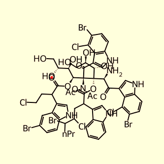 CCCC(Br)C(Cl)CC(C(=O)O[C@@]([C@@H](N)C(=O)c1c[nH]c2ccc(Br)c(Cl)c12)([C@@H](O)[C@H](O)CO)[C@@](C(=O)c1c[nH]c2ccc(Br)c(Cl)c12)([C@@H](OC(=O)C(CCCl)c1c[nH]c2ccc(Br)cc12)[C@H](O)[C@H](O)CO)N(C(C)=O)C(C)=O)c1c[nH]c2ccccc12